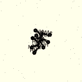 CO[Si](C)(CCCNc1ccccc1)O[Si](C)(CCCNc1ccccc1)O[Si](C)(CCCNc1ccccc1)O[Si](C)(CCCNc1ccccc1)O[Si](C)(CCCNc1ccccc1)O[Si](C)(CCCNc1ccccc1)O[Si](C)(CCCNc1ccccc1)O[Si](C)(CCCNc1ccccc1)OC